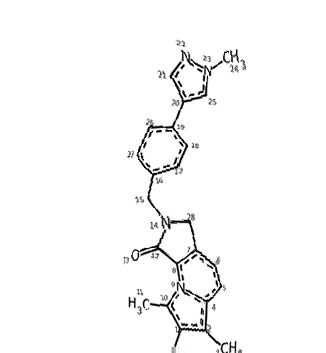 Cc1c(C)c2ccc3c(n2c1C)C(=O)N(Cc1ccc(-c2cnn(C)c2)cc1)C3